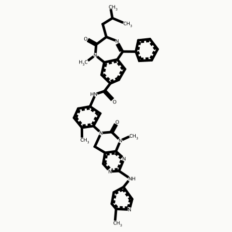 Cc1ccc(Nc2ncc3c(n2)N(C)C(=O)N(c2cc(NC(=O)c4ccc5c(c4)N(C)C(=O)C(CC(C)C)N=C5c4ccccc4)ccc2C)C3)cn1